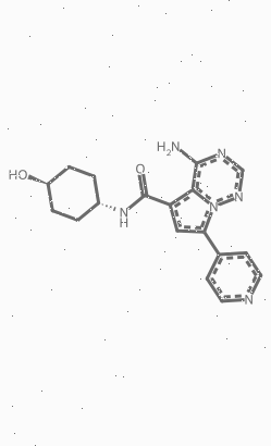 Nc1ncnn2c(-c3ccncc3)cc(C(=O)N[C@H]3CC[C@H](O)CC3)c12